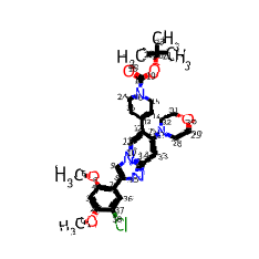 COc1cc(OC)c(-c2cn3cc(C4=CCN(C(=O)OC(C)(C)C)CC4)c(N4CCOCC4)cc3n2)cc1Cl